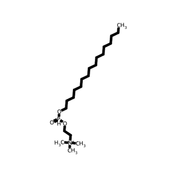 CCCCCCCCCCCCCCCCO[PH](=O)OCC[N+](C)(C)C